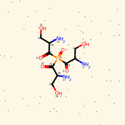 NC(CO)C(=O)P(=O)(C(=O)C(N)CO)C(=O)C(N)CO